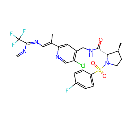 C=N/C(=N\C=C(/C)c1cc(CNC(=O)[C@@H]2[C@@H](C)CCN2S(=O)(=O)c2ccc(F)cc2)c(Cl)cn1)C(F)(F)F